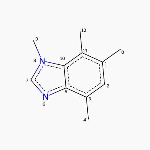 Cc1cc(C)c2ncn(C)c2c1C